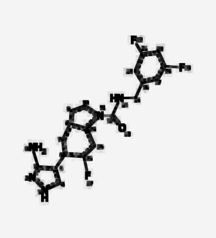 Nc1n[nH]cc1-c1cc2ccn(C(=O)NCc3cc(F)cc(F)c3)c2cc1F